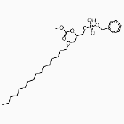 CCCCCCCCCCCCCCCCOCC(COP(=O)(O)OCc1ccccc1)OC(=O)OC